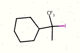 CC(I)(C1CCCCC1)C(F)(F)F